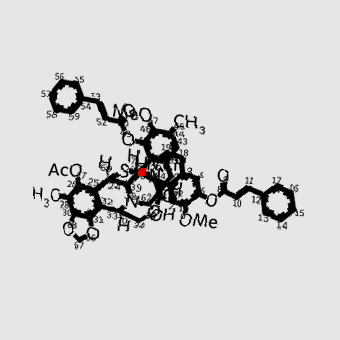 COc1cc2c(cc1OC(=O)/C=C/c1ccccc1)CCN[C@]21CS[C@@H]2c3c(OC(C)=O)c(C)c4c(c3[C@H](COC1=O)N1C2[C@H]2c3c(cc(C)c(OC)c3OC(=O)/C=C/c3ccccc3)C[C@@H]([C@@H]1O)N2C)OCO4